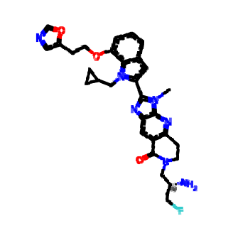 Cn1c(-c2cc3cccc(OCCc4cnco4)c3n2CC2CC2)nc2cc3c(nc21)CCN(C[C@H](N)CF)C3=O